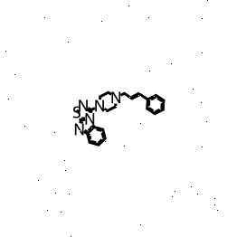 C(=C\c1ccccc1)/CN1CCN(c2nsc3nc4ccccc4n23)CC1